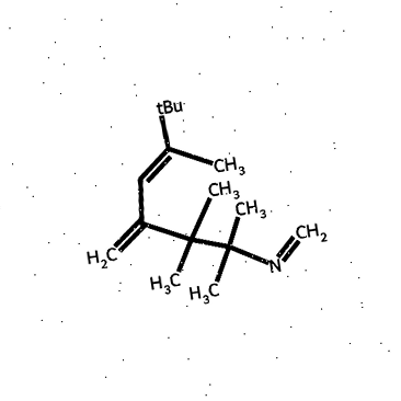 C=NC(C)(C)C(C)(C)C(=C)/C=C(\C)C(C)(C)C